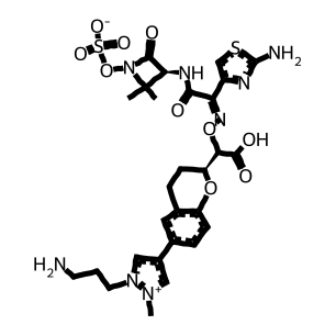 C[n+]1cc(-c2ccc3c(c2)CC[C@@H](C(O/N=C(\C(=O)N[C@@H]2C(=O)N(OS(=O)(=O)[O-])C2(C)C)c2csc(N)n2)C(=O)O)O3)cn1CCCN